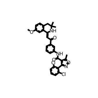 COc1ccc2c(c1)/C(=C/C(=O)c1cccc(NC(=O)c3c(-c4c(Cl)cccc4Cl)noc3C)c1)NC(C)(C)C2